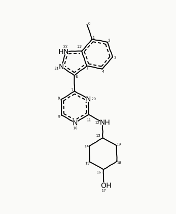 Cc1cccc2c(-c3ccnc(NC4CCC(O)CC4)n3)n[nH]c12